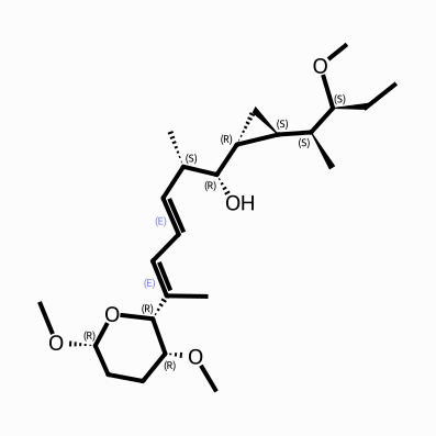 CC[C@H](OC)[C@@H](C)[C@@H]1C[C@H]1[C@H](O)[C@@H](C)/C=C/C=C(\C)[C@H]1O[C@@H](OC)CC[C@H]1OC